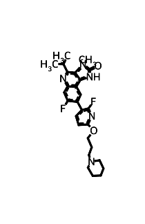 CC(C)c1nc2cc(F)c(-c3ccc(OCCCN4CCCCC4)nc3F)cc2c2[nH]c(=O)n(C)c12